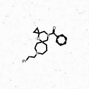 CC(C)CCN1CCCC2(CC1)CN(C(=O)c1ccccc1)CC1(CC1)O2